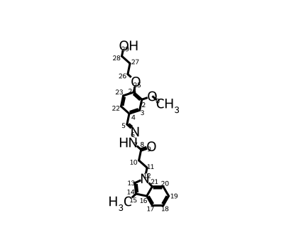 COc1cc(C=NNC(=O)CCn2cc(C)c3ccccc32)ccc1OCCCO